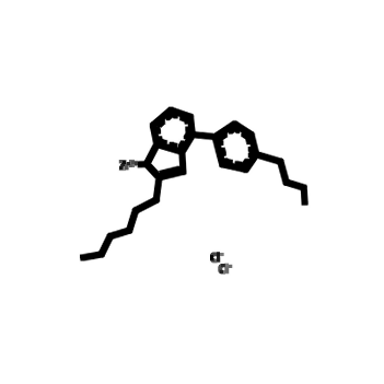 CCCCCCC1=Cc2c(-c3ccc(CCCC)cc3)cccc2[CH]1[Zr+2].[Cl-].[Cl-]